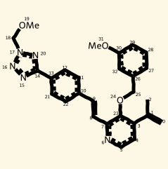 C=C(C)c1ccnc(C=Cc2ccc(-c3nnn(COC)n3)cc2)c1OCc1cccc(OC)c1